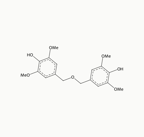 COc1cc(COCc2cc(OC)c(O)c(OC)c2)cc(OC)c1O